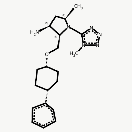 C[C@@H]1C[C@H](N)[C@H](CO[C@H]2CC[C@@H](c3ccccc3)CC2)N1c1nnnn1C